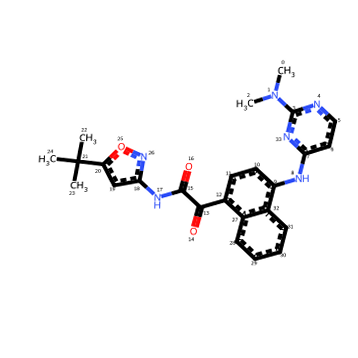 CN(C)c1nccc(Nc2ccc(C(=O)C(=O)Nc3cc(C(C)(C)C)on3)c3ccccc23)n1